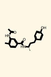 CC(=O)Nc1cc(C(=O)N[C@@H](C)CCc2ccc(O)cc2)ccc1C